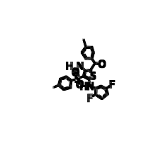 Cc1ccc(C(=O)c2sc(Nc3cc(F)ccc3F)c(S(=O)(=O)c3ccc(C)cc3)c2N)cc1